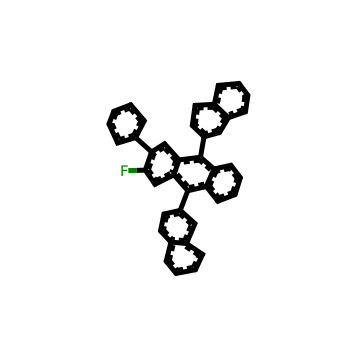 Fc1cc2c(-c3ccc4ccccc4c3)c3ccccc3c(-c3ccc4ccccc4c3)c2cc1-c1ccccc1